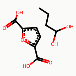 CCCC(O)O.O=C(O)c1ccc(C(=O)O)o1